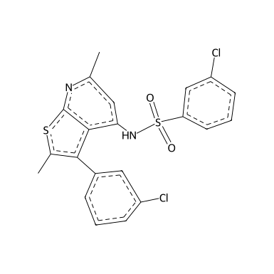 Cc1cc(NS(=O)(=O)c2cccc(Cl)c2)c2c(-c3cccc(Cl)c3)c(C)sc2n1